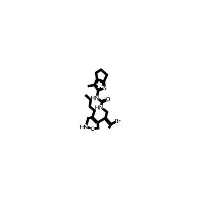 CCCCC1=C(/C(CNC(=O)Nc2sc3c(c2C)CCC3)=C(\C)Br)CCNC1